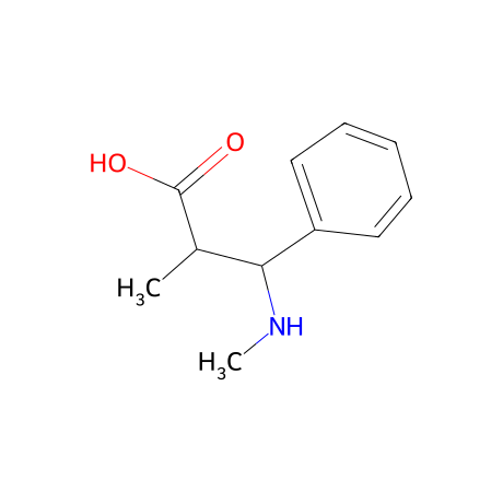 CNC(c1ccccc1)C(C)C(=O)O